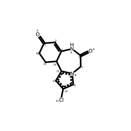 O=C1C=C2NC(=O)Cn3cc(Cl)cc3C2CC1